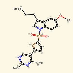 CCOc1ccc2c(c1)c(CCC(=O)O)cn2S(=O)(=O)c1ccc(-c2cnc(OC)nc2OC)s1